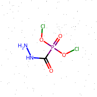 NNC(=O)P(=O)(OCl)OCl